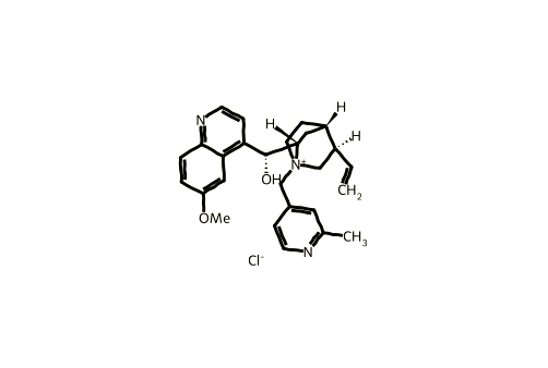 C=C[C@H]1C[N+]2(Cc3ccnc(C)c3)CC[C@H]1C[C@H]2[C@H](O)c1ccnc2ccc(OC)cc12.[Cl-]